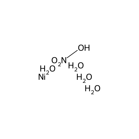 O.O.O.O.O=[N+]([O-])O.[Ni]